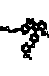 COCC#Cc1cc(C)c(-c2c(-c3ccc(Oc4nccc(C)n4)cc3)c3c(N)ncnc3n2C)cn1